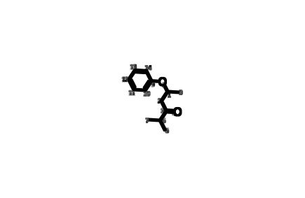 CC(CC(=O)C(C)C)Oc1ccccc1